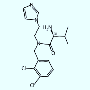 CC(C)[C@H](N)C(=O)N(CCn1ccnc1)Cc1cccc(Cl)c1Cl